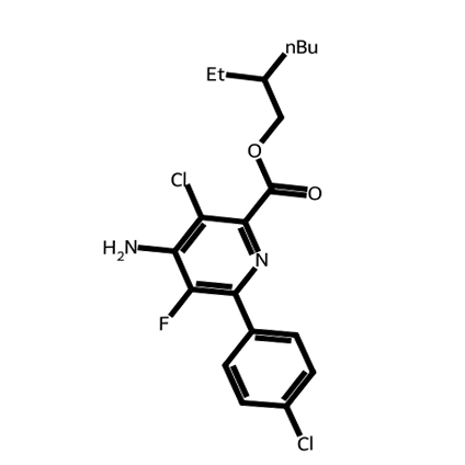 CCCCC(CC)COC(=O)c1nc(-c2ccc(Cl)cc2)c(F)c(N)c1Cl